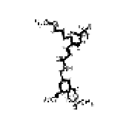 C#Cc1cc(CNC(=O)C=Cc2ccc(C(F)(F)F)nc2CCCOC)cc(F)c1NS(C)(=O)=O